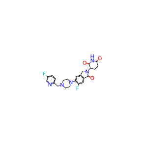 O=C1CCC(N2Cc3cc(N4CCN(Cc5ccc(F)cn5)CC4)c(F)cc3C2=O)C(=O)N1